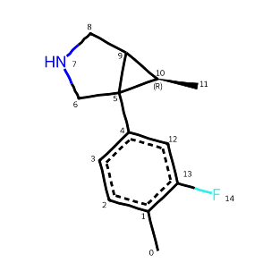 Cc1ccc(C23CNCC2[C@H]3C)cc1F